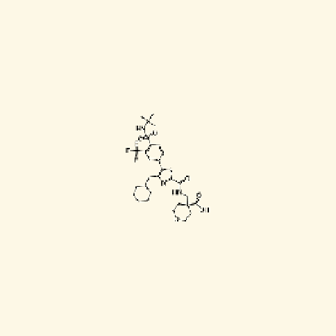 CC(C)(C)NS(=O)(=O)c1ccc(-c2sc(C(=O)NCC3(C(=O)O)CCOCC3)nc2CC2CCCCC2)cc1C(F)(F)F